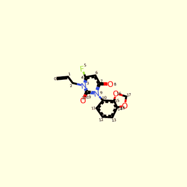 C=CCn1c(F)cc(=O)n(-c2cccc3c2OCO3)c1=O